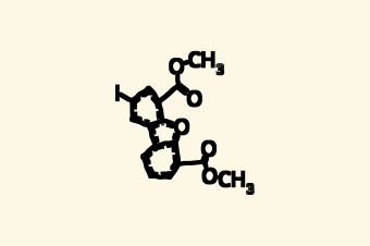 COC(=O)c1cccc2c1oc1c(C(=O)OC)cc(I)cc12